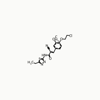 CCc1nnc(NC(=O)/C(C#N)=C/c2ccc(OCCCl)c(OC)c2)s1